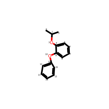 CC(C)Oc1ccccc1Oc1cc[c]cc1